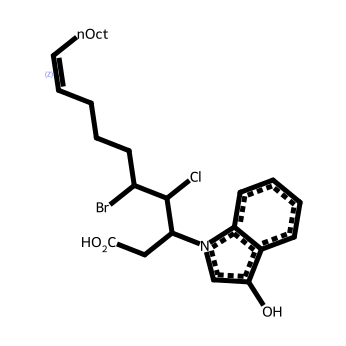 CCCCCCCC/C=C\CCCC(Br)C(Cl)C(CC(=O)O)n1cc(O)c2ccccc21